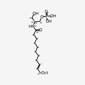 CCCCCCCCC=CCCCCCCCC(=O)N[C@@H](CO)COP(=O)(O)O